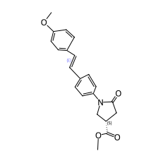 COC(=O)[C@H]1CC(=O)N(c2ccc(/C=C/c3ccc(OC)cc3)cc2)C1